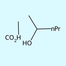 CC(=O)O.CCCC(C)O